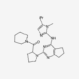 CC(C)c1cnc(Nc2nc(N3CCCC3C(=O)N3CCCCC3)nc3c2CCC3)n1C